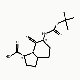 CC(C)(C)OC(=O)N[C@H]1CCC2SC[C@@H](C(=O)O)N2C1=O